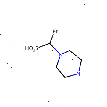 CCC(N1CC[N]CC1)S(=O)(=O)O